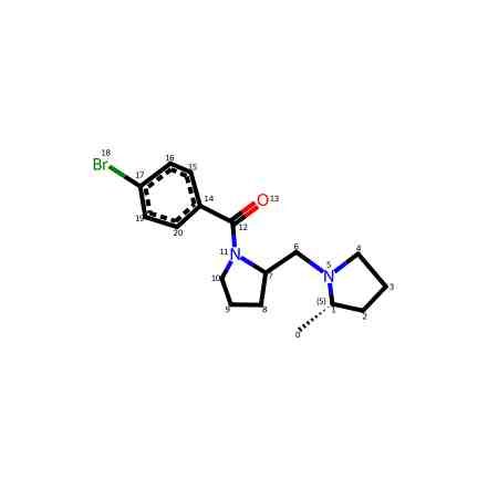 C[C@H]1CCCN1CC1CCCN1C(=O)c1ccc(Br)cc1